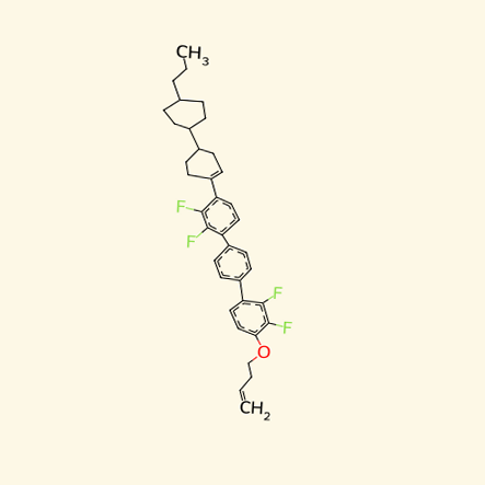 C=CCCOc1ccc(-c2ccc(-c3ccc(C4=CCC(C5CCC(CCC)CC5)CC4)c(F)c3F)cc2)c(F)c1F